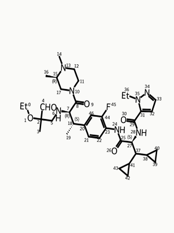 CCOC(C)(C=O)CN[C@@H](C(=O)N1CCN(C)[C@H](C)C1)[C@@H](C)c1ccc(NC(=O)[C@@H](NC(=O)c2ccnn2CC)C(C2CC2)C2CC2)c(F)c1